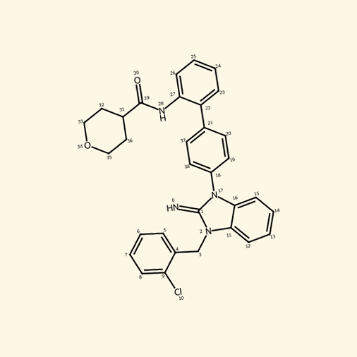 N=c1n(Cc2ccccc2Cl)c2ccccc2n1-c1ccc(-c2ccccc2NC(=O)C2CCOCC2)cc1